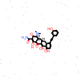 CN(C)[C@@H]1C(=O)C(C(N)=O)=C(O)[C@@]2(O)C(=O)C3=C(O)c4c(O)ccc(C#Cc5cccc(O)c5)c4C[C@H]3C[C@@H]12